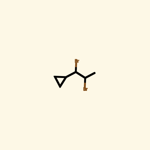 CC(Br)C(Br)C1CC1